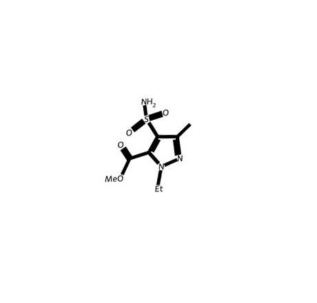 CCn1nc(C)c(S(N)(=O)=O)c1C(=O)OC